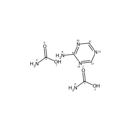 NC(=O)O.NC(=O)O.Nc1ncncn1